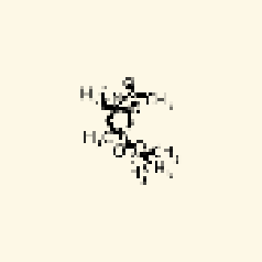 C=C[C@@]1(NS(=O)(=O)C=C)CCN(C(=O)OC(C)(C)C)[C@@H](C)C1